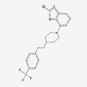 [O]c1nc2c(N3CCC(CCc4ccc(C(F)(F)F)cc4)CC3)cccc2s1